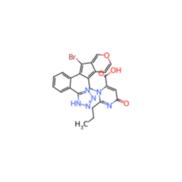 CCCc1nc(=O)cc(C(=O)O)n1Cc1c2ccocc-2c(Br)c1-c1ccccc1-c1nnn[nH]1